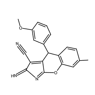 COc1cccc(C2C3=C(C#N)C(=N)N=C3Oc3cc(C)ccc32)c1